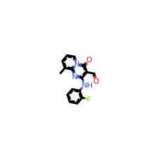 Cc1cccn2c(=O)c(C=O)c(Nc3ccccc3F)nc12